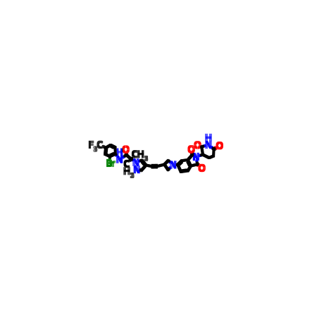 CC(C)(C(=O)Nc1ccc(C(F)(F)F)cc1Br)n1cc(C#CC2CN(c3ccc4c(c3)C(=O)N(C3CCC(=O)NC3=O)C4=O)C2)cn1